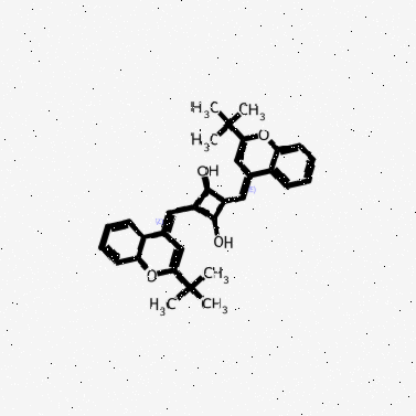 CC(C)(C)C1=C/C(=C\C2C(O)C(/C=C3\C=C(C(C)(C)C)OC4C=CC=CC34)C2O)c2ccccc2O1